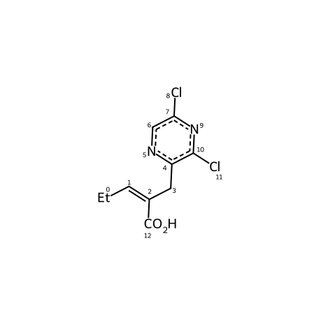 CCC=C(Cc1ncc(Cl)nc1Cl)C(=O)O